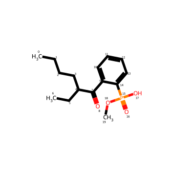 CCCCC(CC)C(=O)c1ccccc1P(=O)(O)OC